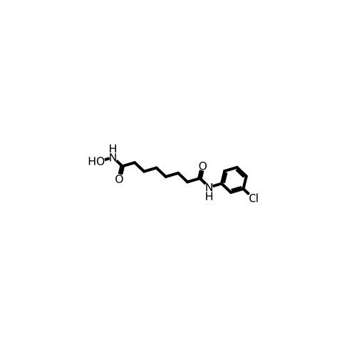 O=C(CCCCCCC(=O)Nc1cccc(Cl)c1)NO